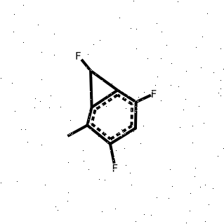 Cc1c(F)cc(F)c2c1C2F